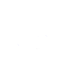 CCN(CC)c1ccc(/C=C/C2=[N+](C)c3ccc(C)cc3C2(C)CC)c(OC)c1